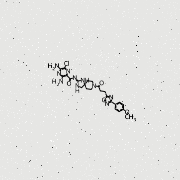 COc1ccc(-c2noc(CCC(=O)N3CCC4(CC3)CN/C(=N\C(=O)c3nc(Cl)c(N)nc3N)N4)n2)cc1